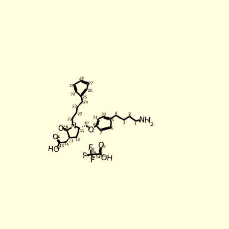 NCCCCc1ccc(OC[C@@H]2C[C@@H](CC(=O)O)C(=O)N2CCCCc2ccccc2)cc1.O=C(O)C(F)(F)F